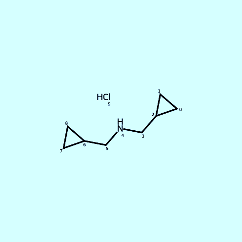 C1CC1CNCC1CC1.Cl